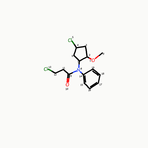 COC1CC(Cl)CC1N(C(=O)CCCl)c1ccccc1